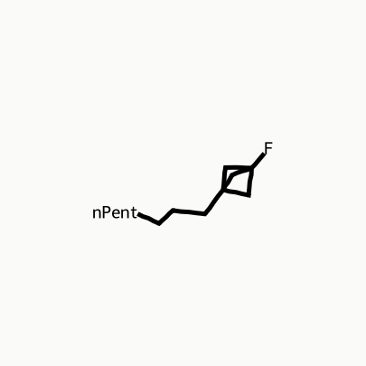 CCCCCCCCC12CC(F)(C1)C2